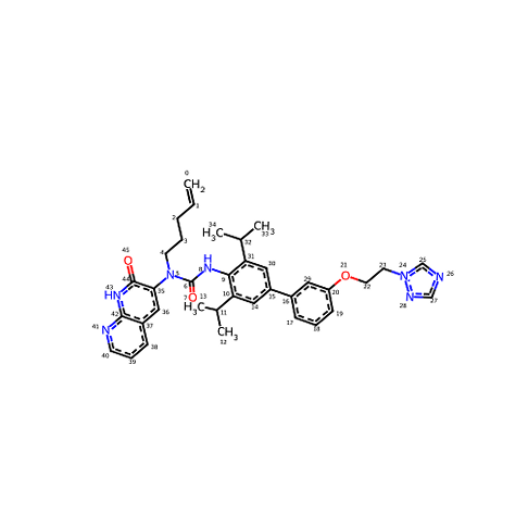 C=CCCCN(C(=O)Nc1c(C(C)C)cc(-c2cccc(OCCn3cncn3)c2)cc1C(C)C)c1cc2cccnc2[nH]c1=O